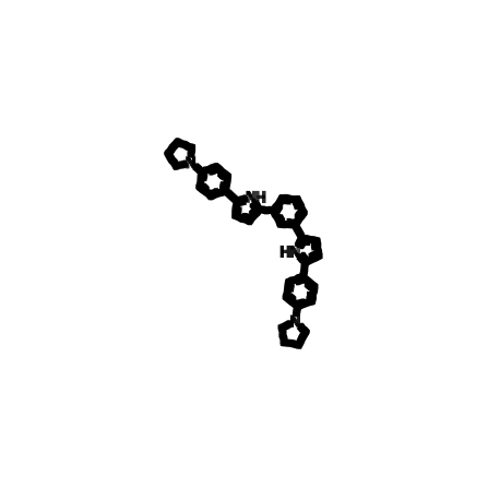 c1cc(-c2ccc(-c3ccc(N4CCCC4)cc3)[nH]2)cc(-c2ccc(-c3ccc(N4CCCC4)cc3)[nH]2)c1